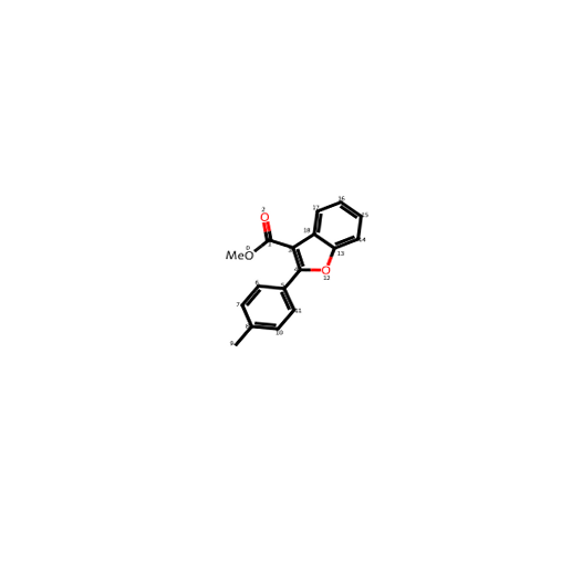 COC(=O)c1c(-c2ccc(C)cc2)oc2ccccc12